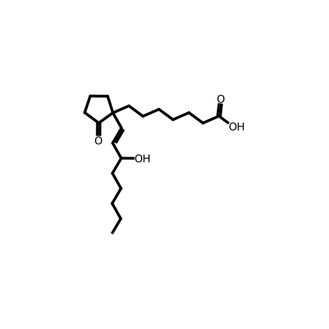 CCCCCC(O)C=CC1(CCCCCCC(=O)O)CCCC1=O